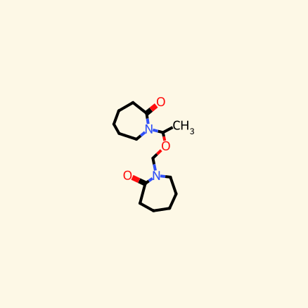 CC(OCN1CCCCCC1=O)N1CCCCCC1=O